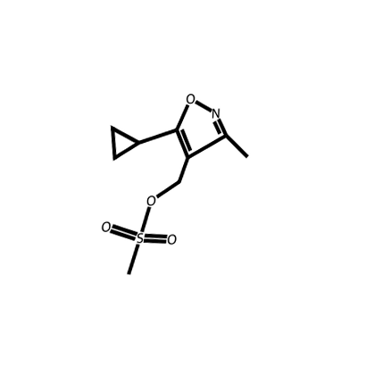 Cc1noc(C2CC2)c1COS(C)(=O)=O